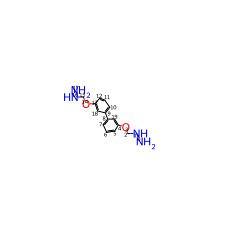 NNCOc1cccc(-c2cccc(OCNN)c2)c1